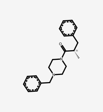 C[C@@H](Cc1ccccc1)C(=O)N1CCN(Cc2ccccc2)CC1